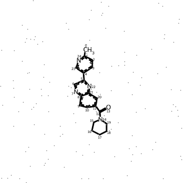 Cc1ccc(-c2cnc3ccc(C(=O)N4CCCCC4)cc3n2)cn1